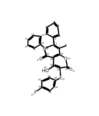 Cc1c(-c2ccccc2)n(-c2ccccc2)c(=O)c2c(O)c(Sc3ccc(F)cc3)c(=O)oc12